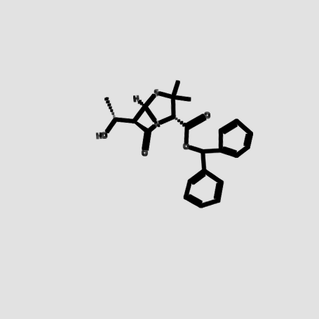 C[C@@H](O)[C@@H]1C(=O)N2[C@@H]1SC(C)(C)[C@@H]2C(=O)OC(c1ccccc1)c1ccccc1